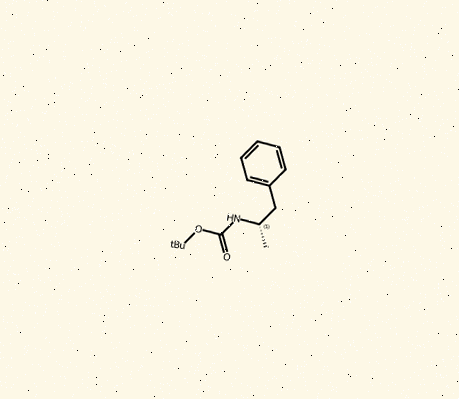 [CH2][C@@H](Cc1ccccc1)NC(=O)OC(C)(C)C